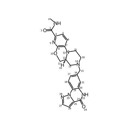 CNC(=O)c1ccc2c(n1)OC[C@H]1CN(Cc3ccc4c(c3)[nH]c(=O)c3ccnn34)CCN21